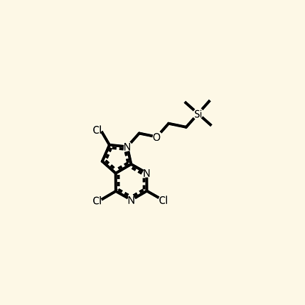 C[Si](C)(C)CCOCn1c(Cl)cc2c(Cl)nc(Cl)nc21